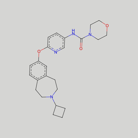 O=C(Nc1ccc(Oc2ccc3c(c2)CCN(C2CCC2)CC3)nc1)N1CCOCC1